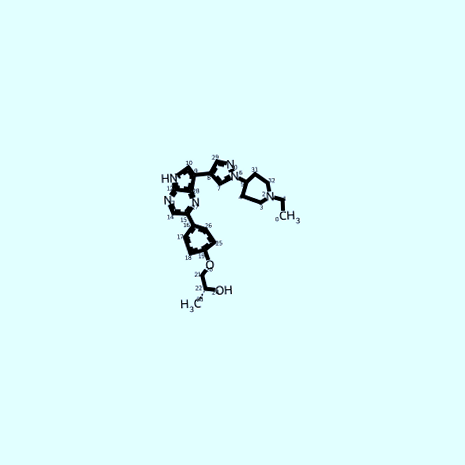 CCN1CCC(n2cc(-c3c[nH]c4ncc(-c5ccc(OC[C@@H](C)O)cc5)nc34)cn2)CC1